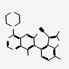 N#Cc1c(N)sc2c(F)ccc(-c3c(Cl)cc4c(N5CCNCC5)ncnc4c3F)c12